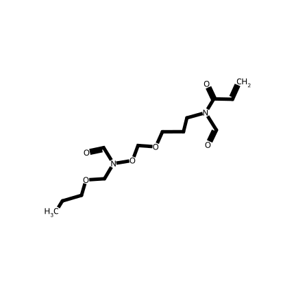 C=CC(=O)N(C=O)CCCOCON(C=O)COCCC